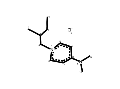 CCC(C)C[n+]1ccc(N(C)C)cc1.[Cl-]